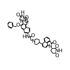 O=C1CCC(N2C(=O)c3cccc4c(C5CCN(CC(=O)Nc6ccc7c(F)c(N8CC(=O)NS8(=O)=O)c(OCc8ccccc8)cc7c6)CC5)ccc2c34)C(=O)N1